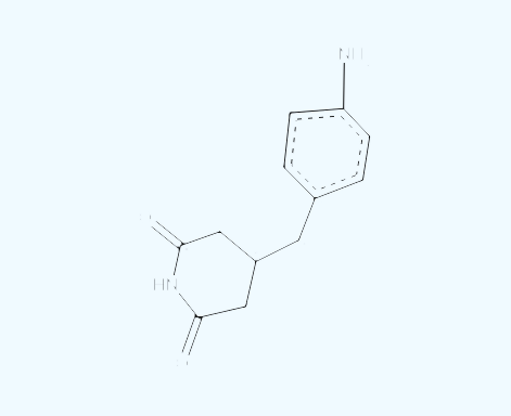 Nc1ccc(CC2CC(=O)NC(=O)C2)cc1